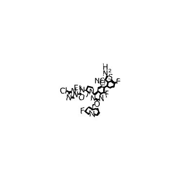 CCN(C(=O)n1cnc(Cl)n1)[C@H]1CCN(c2nc(OC[C@@]34CCCN3C[C@H](F)C4)nc3c(F)c(-c4ccc(F)c5sc(N)c(C#N)c45)c(Cl)cc23)[C@H]1C